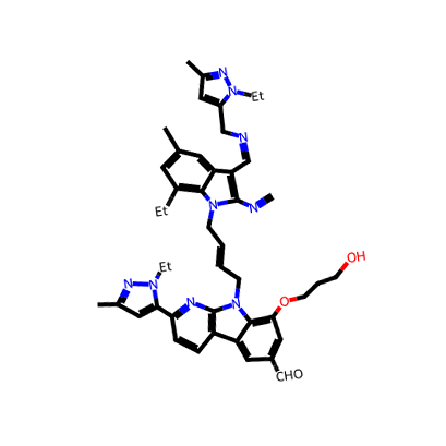 C=Nc1c(/C=N\Cc2cc(C)nn2CC)c2cc(C)cc(CC)c2n1C/C=C/Cn1c2nc(-c3cc(C)nn3CC)ccc2c2cc(C=O)cc(OCCCO)c21